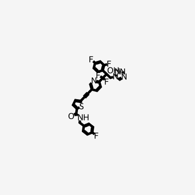 O=C(NCc1ccc(F)cc1)c1ccc(C#Cc2ccc(C(F)(F)C(O)(Cn3cnnn3)c3ccc(F)cc3F)nc2)s1